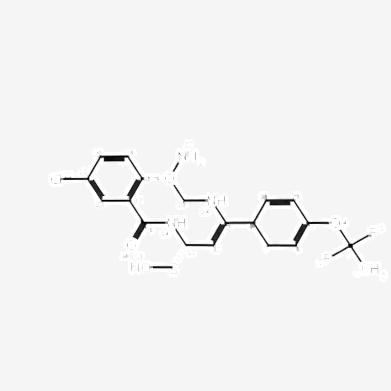 CC(F)(F)OC1=CCC(/C(=C/[C@H](CO)NC(=O)c2cccc(Cl)c2)NCON)C=C1